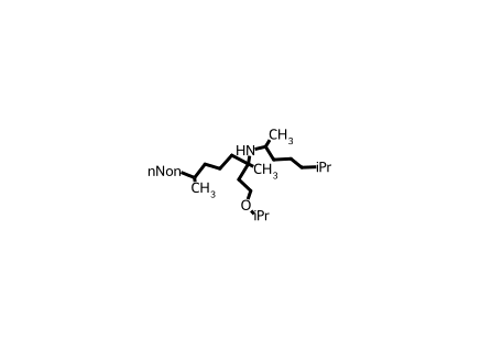 CCCCCCCCCC(C)CCCC(C)(CCOC(C)C)NC(C)CCCC(C)C